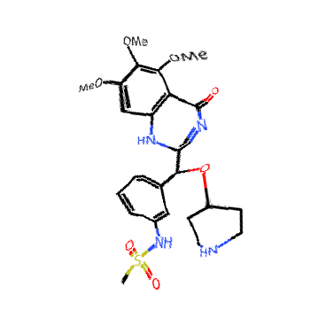 COc1cc2[nH]c(C(OC3CCNCC3)c3cccc(NS(C)(=O)=O)c3)nc(=O)c2c(OC)c1OC